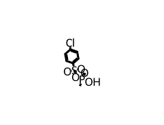 CP(=O)(O)OS(=O)(=O)c1ccc(Cl)cc1